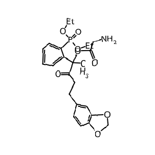 CCOP(=O)(OCC)c1ccccc1C(C)(OC(=O)CN)C(=O)CCc1ccc2c(c1)OCO2